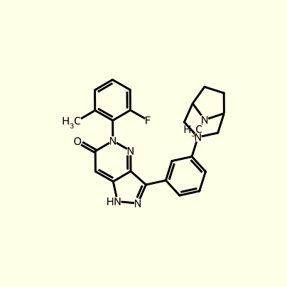 Cc1cccc(F)c1-n1nc2c(-c3cccc(N4CC5CCC(C4)N5C)c3)n[nH]c2cc1=O